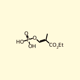 CCOC(=O)C(C)=COP(=O)(O)O